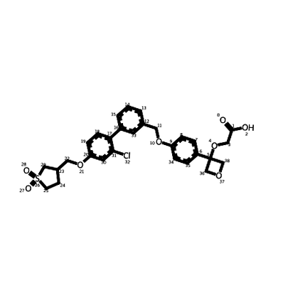 O=C(O)COC1(c2ccc(OCc3cccc(-c4ccc(OCC5CCS(=O)(=O)C5)cc4Cl)c3)cc2)COC1